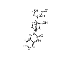 O=CNC(CS)C12CCC(C(Cc3ccccc3)C(=O)O)(CC1)NC2O